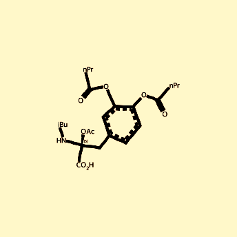 CCCC(=O)Oc1ccc(C[C@](NC(C)CC)(OC(C)=O)C(=O)O)cc1OC(=O)CCC